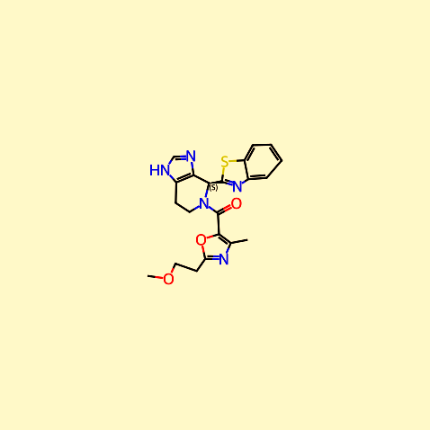 COCCc1nc(C)c(C(=O)N2CCc3[nH]cnc3[C@H]2c2nc3ccccc3s2)o1